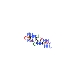 NP(N)(=O)NC(=O)[C@@H](Cl)[C@@H](Cl)C(=O)NP(N)(N)=O